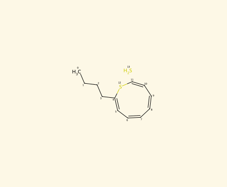 CCCCc1cccccccs1.S